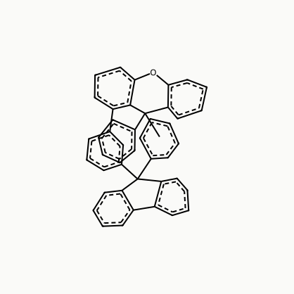 CC1(c2ccccc2)c2ccccc2Oc2cccc(-c3cccc(C4(c5ccccc5)c5ccccc5-c5ccccc54)c3)c21